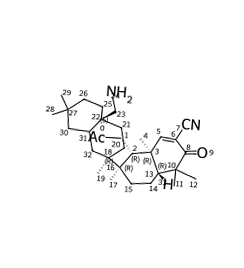 CC(=O)C[C@@H]1[C@@]2(C)C=C(C#N)C(=O)C(C)(C)[C@@H]2CC[C@@]1(C)[C@]1(C)CC[C@@]2(CN)CCC(C)(C)CC2C1